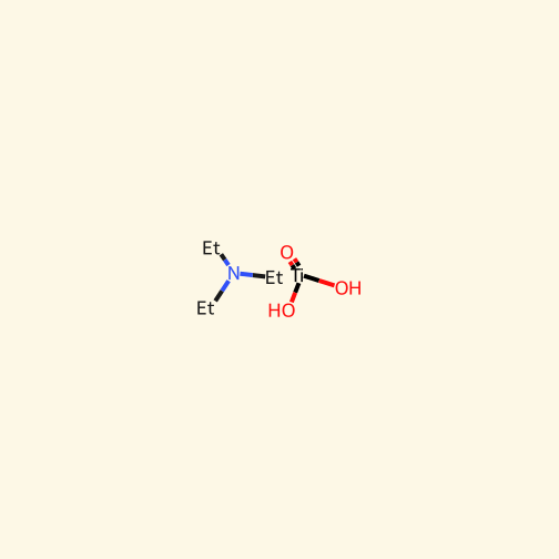 CCN(CC)CC.[O]=[Ti]([OH])[OH]